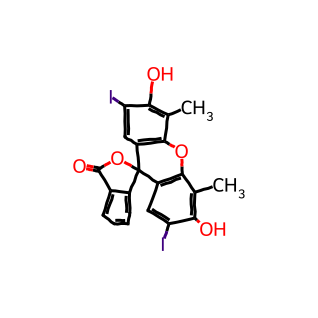 Cc1c(O)c(I)cc2c1Oc1c(cc(I)c(O)c1C)C21OC(=O)c2ccccc21